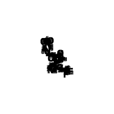 CC1CN(S(C)(=O)=O)CCN1Cc1cc2c(=O)n(C)cc(-c3ccncc3OCC3CC3(F)F)c2o1